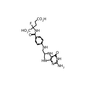 Nc1nc2c(c(=O)[nH]1)NC(CNc1ccc(C(=O)NC(F)(CCC(=O)O)C(=O)O)cc1)CN2